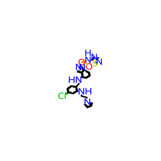 O=S(=O)(Nc1ncns1)n1ncc2c(NCc3ccc(Cl)cc3NCCn3cccc3)cccc21